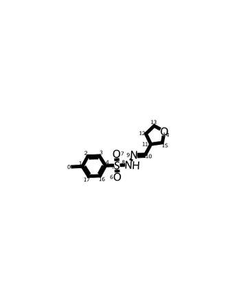 Cc1ccc(S(=O)(=O)N/N=C/C2CCOC2)cc1